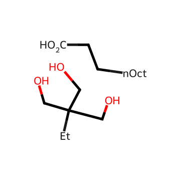 CCC(CO)(CO)CO.CCCCCCCCCCC(=O)O